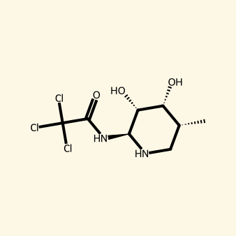 C[C@@H]1CN[C@@H](NC(=O)C(Cl)(Cl)Cl)[C@H](O)[C@@H]1O